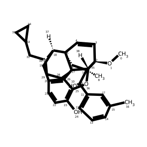 CO[C@]12C=C[C@@]3(C[C@]1(C)[C@H](O)c1cccc(C)c1)[C@H]1Cc4ccc(O)c5c4[C@@]3(CCN1CC1CC1)[C@H]2O5